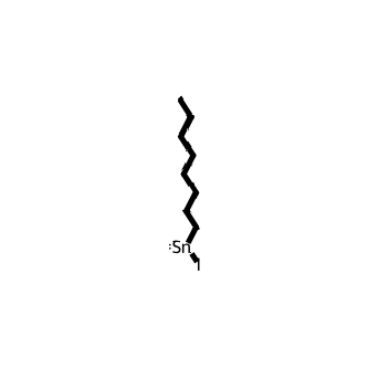 CCCCCCC[CH2][Sn][I]